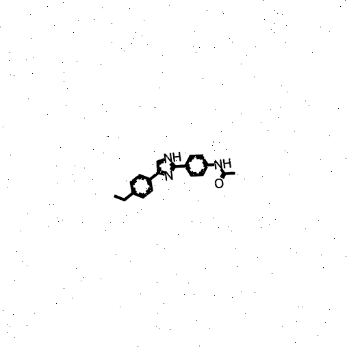 CCc1ccc(-c2c[nH]c(-c3ccc(NC(C)=O)cc3)n2)cc1